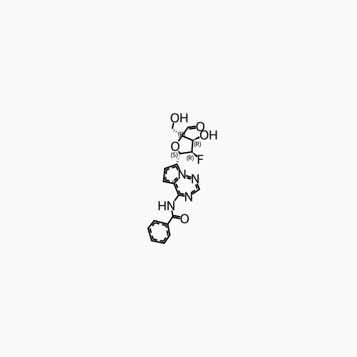 O=C[C@]1(CO)O[C@@H](c2ccc3c(NC(=O)c4ccccc4)ncnn23)[C@H](F)[C@@H]1O